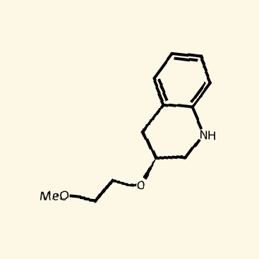 COCCO[C@@H]1CNc2ccccc2C1